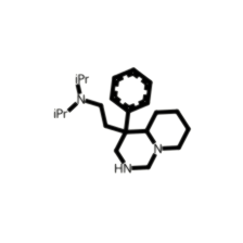 CC(C)N(CCC1(c2ccccc2)CNCN2CCCCC21)C(C)C